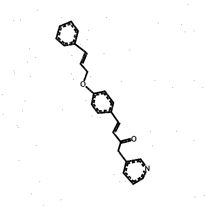 O=C(C=Cc1ccc(OCC=Cc2ccccc2)cc1)Cc1cccnc1